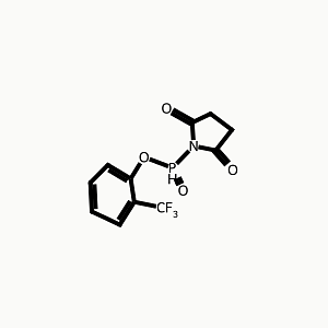 O=C1CCC(=O)N1[PH](=O)Oc1ccccc1C(F)(F)F